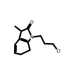 CC1C(=O)N(CCCCl)C2=C1C=CCC2